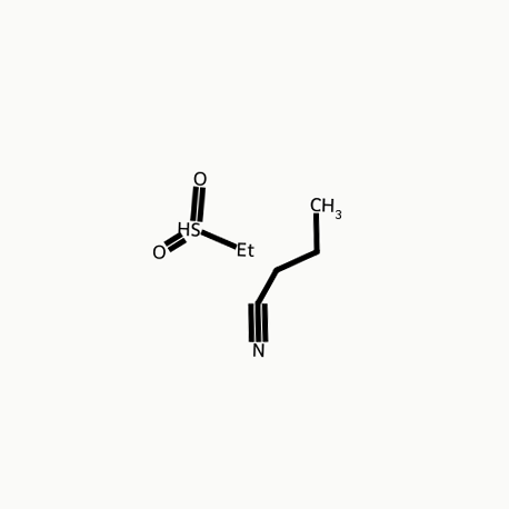 CCCC#N.CC[SH](=O)=O